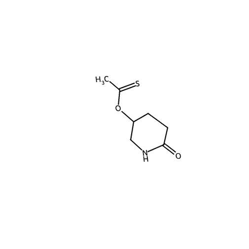 CC(=S)OC1CCC(=O)NC1